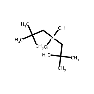 CC(C)(C)C[Si](O)(O)CC(C)(C)C